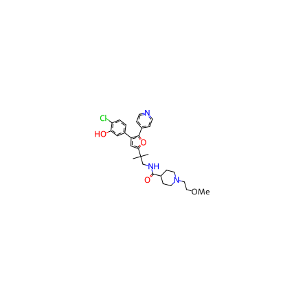 COCCN1CCC(C(=O)NCC(C)(C)c2cc(-c3ccc(Cl)c(O)c3)c(-c3ccncc3)o2)CC1